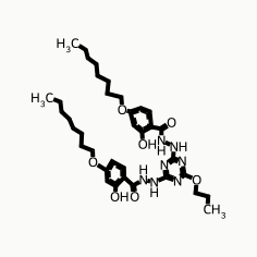 CCCCCCCCOc1ccc(C(=O)NNc2nc(NNC(=O)c3ccc(OCCCCCCCC)cc3O)nc(OCCC)n2)c(O)c1